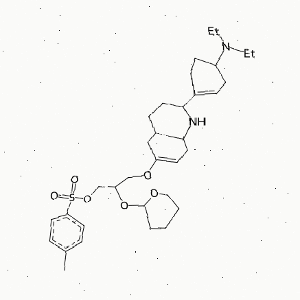 CCN(CC)C1CC=C(C2CCC3CC(OCC(COS(=O)(=O)c4ccc(C)cc4)OC4CCCCO4)=CCC3N2)CC1